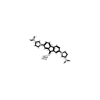 CN(C)[C@H]1CCN(c2ccc3c(c2)C(=O)c2cc(N4CC[C@H](N(C)C)C4)ccc2-3)C1.Cl.Cl